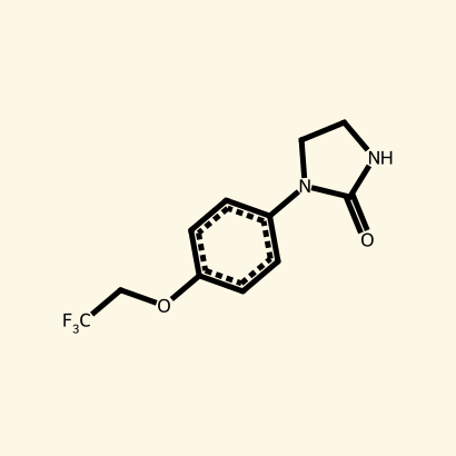 O=C1NCCN1c1ccc(OCC(F)(F)F)cc1